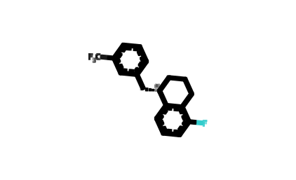 Fc1cccc2c1CCC[C@H]2[CH]c1cccc(C(F)(F)F)c1